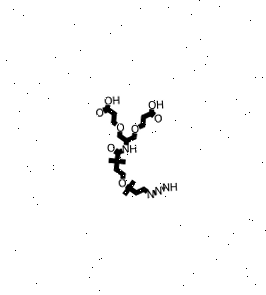 CC(C)(CCN=[N+]=N)OCCC(C)(C)C(=O)NC(COCCC(=O)O)COCCC(=O)O